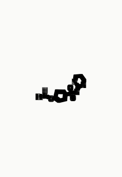 CCBOc1ccc(S(=O)(=O)N=C2N=CCC=N2)cc1